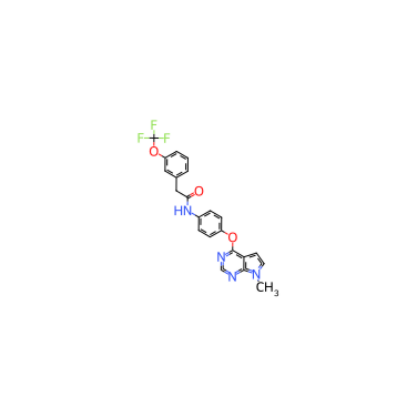 Cn1ccc2c(Oc3ccc(NC(=O)Cc4cccc(OC(F)(F)F)c4)cc3)ncnc21